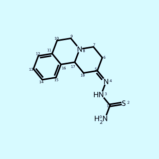 NC(=S)NN=C1CCN2CCc3ccccc3C2C1